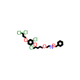 CC(CCCOCC=NOCc1ccccc1)Oc1c(Cl)cc(OCC=C(Cl)Cl)cc1Cl